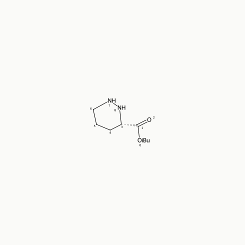 CC(C)COC(=O)[C@@H]1CCCNN1